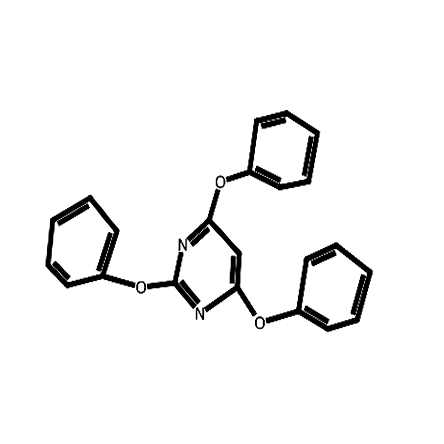 c1ccc(Oc2cc(Oc3ccccc3)nc(Oc3ccccc3)n2)cc1